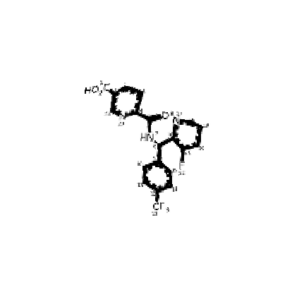 O=C(O)c1ccc(C(=O)N[C@@H](c2ccc(C(F)(F)F)cc2)c2ncccc2F)nc1